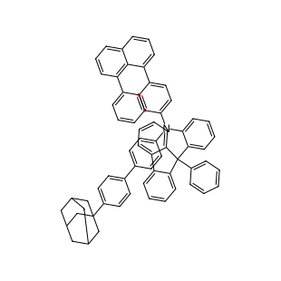 c1ccc(-c2cccc3cccc(-c4ccc(N(c5ccc(-c6ccc(C78CC9CC(CC(C9)C7)C8)cc6)cc5)c5ccccc5C5(c6ccccc6)c6ccccc6-c6ccccc65)cc4)c23)cc1